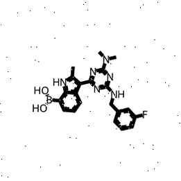 Cc1[nH]c2c(B(O)O)cccc2c1-c1nc(NCc2cccc(F)c2)nc(N(C)C)n1